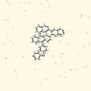 c1ccc2cc(-c3ccc4cccc(-c5c6ccccc6c(-c6ccc7oc8ccccc8c7c6)c6ccccc56)c4c3)ccc2c1